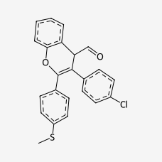 CSc1ccc(C2=C(c3ccc(Cl)cc3)C(C=O)c3ccccc3O2)cc1